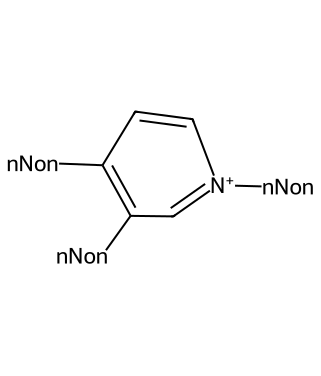 CCCCCCCCCc1cc[n+](CCCCCCCCC)cc1CCCCCCCCC